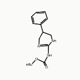 CCCCOC(=O)NC1=NCC(c2ccccc2)CN1